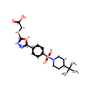 CC(C)(C)C1CCN(S(=O)(=O)c2ccc(-c3nnc(SCC(=O)O)o3)cc2)CC1